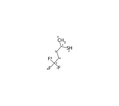 CC(S)CCC(F)(F)F